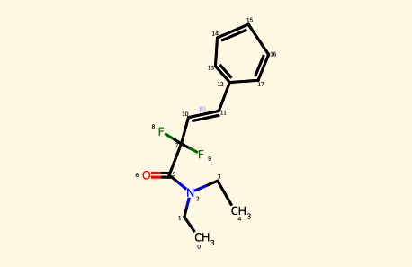 CCN(CC)C(=O)C(F)(F)/C=C/c1ccccc1